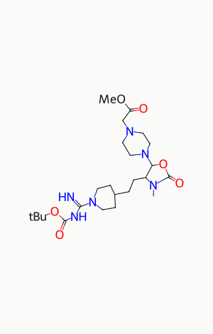 COC(=O)CN1CCN(C2OC(=O)N(C)C2CCC2CCN(C(=N)NC(=O)OC(C)(C)C)CC2)CC1